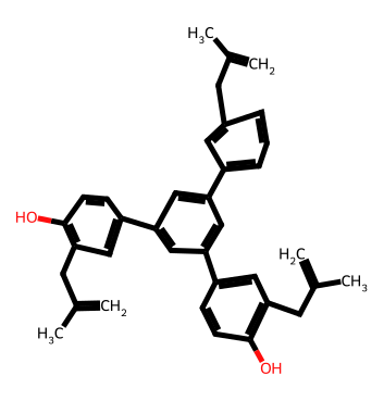 C=C(C)Cc1cccc(-c2cc(-c3ccc(O)c(CC(=C)C)c3)cc(-c3ccc(O)c(CC(=C)C)c3)c2)c1